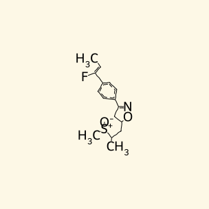 C/C=C(\F)c1ccc(C2=NOC(CC(C)[S+](C)[O-])C2)cc1